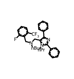 CCCCN(Cc1c(F)cccc1C(F)(F)F)Cc1c(-c2ccccc2)nc(-c2ccccc2)n1CCC